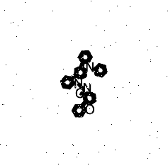 c1ccc(-n2c3ccccc3c3cc4c5ccccc5n(-c5nc6ccc7oc8ccccc8c7c6o5)c4cc32)cc1